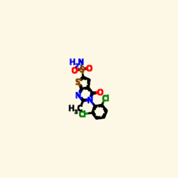 Cc1nc2sc(S(N)(=O)=O)cc2c(=O)n1-c1c(Cl)cccc1Cl